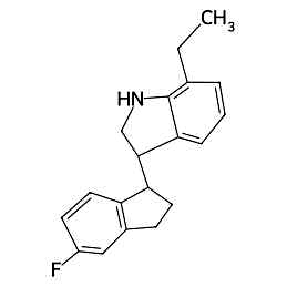 CCc1cccc2c1NCC2C1CCc2cc(F)ccc21